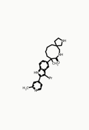 Cc1cc(-c2[nH]c3ccc(C4(C)CCCCC5(CCNC5)CNC4=O)cc3c2C(C)C)ccn1